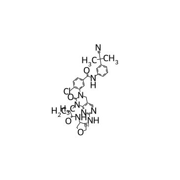 C=CC(=O)NC1COC[C@H]1Nc1ncc2c(n1)N(C)C(=O)N(c1cc(C(=O)Nc3cccc(C(C)(C)C#N)c3)ccc1Cl)C2